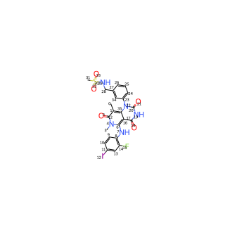 Cc1c(=O)n(C)c(Nc2ccc(I)cc2F)c2c(=O)[nH]c(=O)n(-c3cccc(CNS(C)(=O)=O)c3)c12